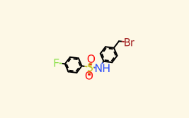 O=S(=O)(Nc1ccc(CBr)cc1)c1ccc(F)cc1